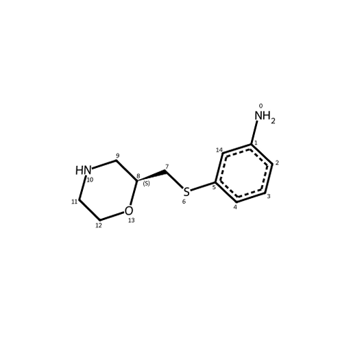 Nc1cccc(SC[C@@H]2CNCCO2)c1